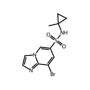 CC1(NS(=O)(=O)c2cc(Br)c3nccn3c2)CC1